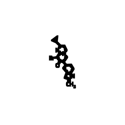 Cn1cc2cc(-c3cn4ccc(C5CC5)nc4c(Br)c3=O)ccc2n1